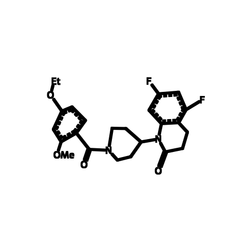 CCOc1ccc(C(=O)N2CCC(N3C(=O)CCc4c(F)cc(F)cc43)CC2)c(OC)c1